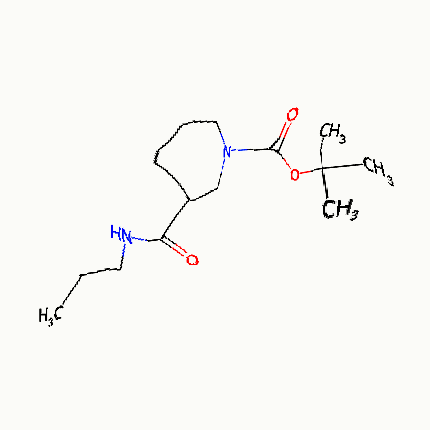 CCCNC(=O)C1CCCN(C(=O)OC(C)(C)C)C1